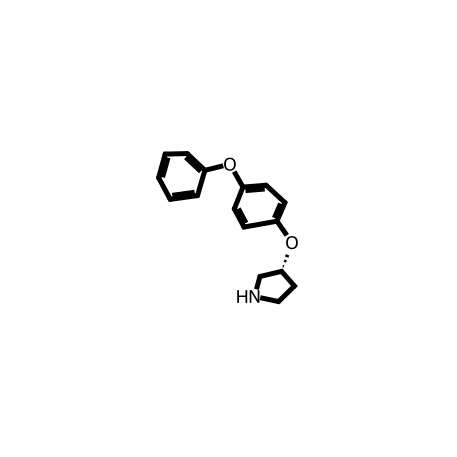 c1ccc(Oc2ccc(O[C@@H]3CCNC3)cc2)cc1